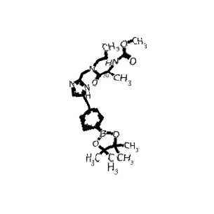 CCCN(Cc1ncc(-c2ccc(B3OC(C)(C)C(C)(C)O3)cc2)[nH]1)C(=O)[C@H](C)NC(=O)OC